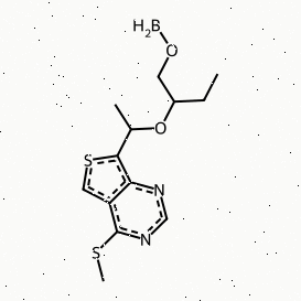 BOCC(CC)OC(C)c1scc2c(SC)ncnc12